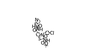 CN1CCCC(F)(C(=O)NNC(=O)c2ccc3c(c2)N(Cc2ccc(Cl)cc2)C(=O)[C@@H](NC(=O)OC(C)(C)C)CS3)C1